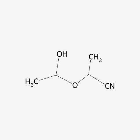 CC(O)OC(C)C#N